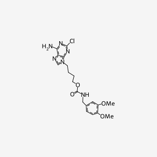 COc1ccc(CNC(=O)OCCCCn2cnc3c(N)nc(Cl)nc32)cc1OC